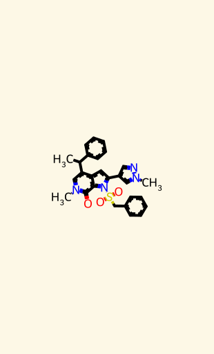 CC(c1ccccc1)c1cn(C)c(=O)c2c1cc(-c1cnn(C)c1)n2S(=O)(=O)Cc1ccccc1